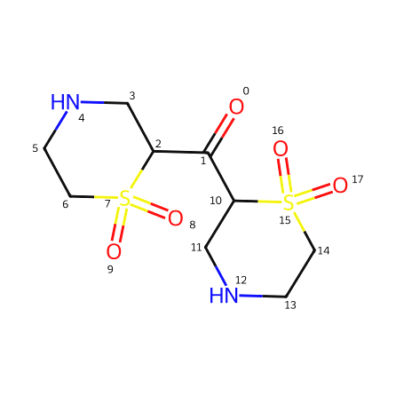 O=C(C1CNCCS1(=O)=O)C1CNCCS1(=O)=O